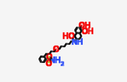 NS(=O)(=O)c1ccccc1CCCCOCCCCCCN[C@@H]1CCc2c(ccc(O)c2O)[C@H]1O